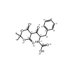 CC1(C)OC(=O)C(C(=O)C(Cc2ccccc2)NC(=O)O)C(=O)O1